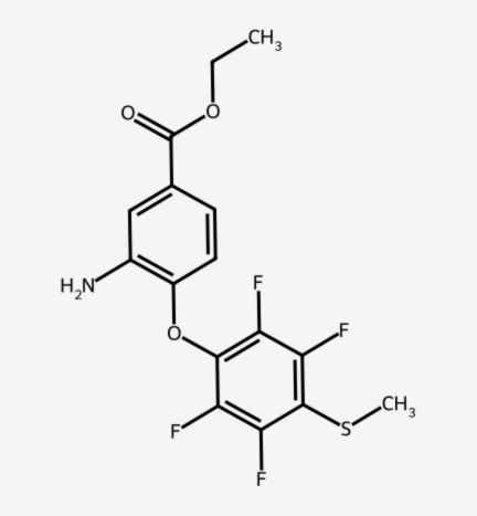 CCOC(=O)c1ccc(Oc2c(F)c(F)c(SC)c(F)c2F)c(N)c1